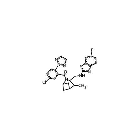 CC1C2CC(C2)N(C(=O)c2cc(Cl)ccc2-n2nccn2)C1CNc1nc2ccc(F)cc2s1